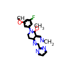 C=N/C=C1\C(=N/Cc2ncccn2)CCN(c2cc(F)cc(OC)c2)C1OC